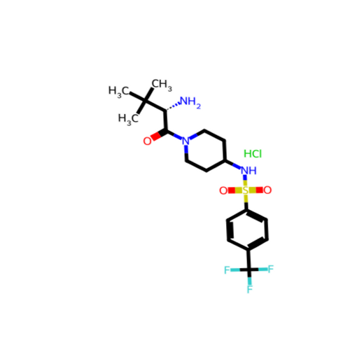 CC(C)(C)[C@H](N)C(=O)N1CCC(NS(=O)(=O)c2ccc(C(F)(F)F)cc2)CC1.Cl